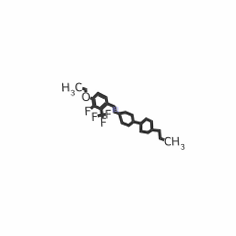 CCCC1CCC(C2CCC(/C=C/c3ccc(OCC)c(F)c3C(F)(F)F)CC2)CC1